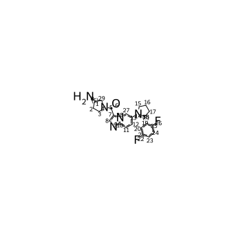 N[C@H]1CCN(C(=O)c2cnc3ccc(N4CCC[C@@H]4c4cc(F)ccc4F)cn23)C1